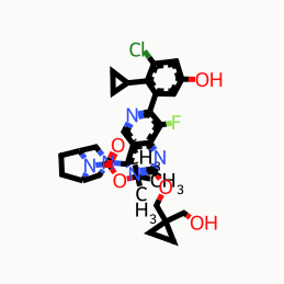 CC(C)(C)OC(=O)N1C2CCC1CN(c1nc(OCC3(CO)CC3)nc3c(F)c(-c4cc(O)cc(Cl)c4C4CC4)ncc13)C2